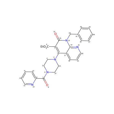 CCOC(=O)c1c(N2CCN(C(=O)c3ccccn3)CC2)c2cccnc2n(Cc2ccccc2)c1=O